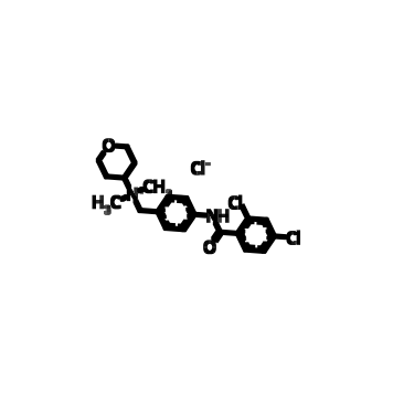 C[N+](C)(Cc1ccc(NC(=O)c2ccc(Cl)cc2Cl)cc1)C1CCOCC1.[Cl-]